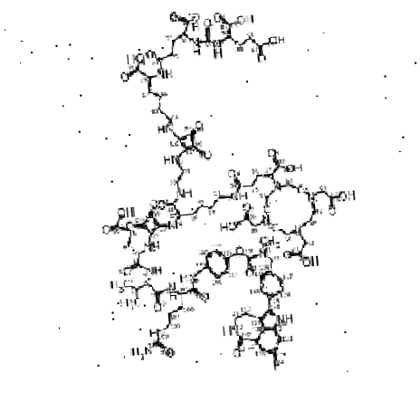 CC(C)[C@H](NC(=O)[C@H](CCC(=O)O)Nc1c(NC(CCCCNC(=O)CCC(C(=O)O)N2CCN(CC(=O)O)CCN(CC(=O)O)CCN(CC(=O)O)CC2)C(=O)NCCNc2c(NCCCCC(NC(=O)CCC(NC(=O)NC(CCC(=O)O)C(=O)O)C(=O)O)C(=O)O)c(=O)c2=O)c(=O)c1=O)C(=O)N[C@@H](CCCNC(N)=O)C(=O)Nc1ccc(OC(=O)N(C)Cc2ccc(-c3[nH]c4cc(F)cc5c4c3CCNC5=O)cc2)cc1